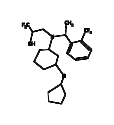 CC(c1ccccc1C(F)(F)F)N(CC(O)C(F)(F)F)C1CCCC(OC2CCCC2)C1